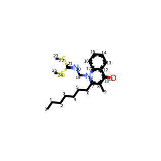 CCCCCCCc1c(C)c(=O)c2ccccc2n1CN=C(SC)SC